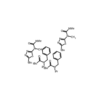 CC(C)N(Cc1ccccc1)C(=O)C(C)(C)C.CC(C)N(Cc1ccccc1)C(=O)C(C)(C)C.CNC(=O)N(C)c1nnc(C(C)(C)C)s1.CNC(=O)N(C)c1nnc(C(C)(C)C)s1